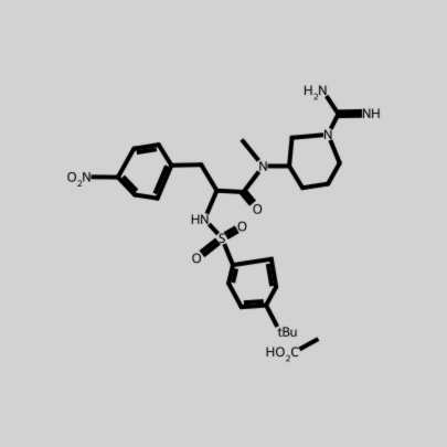 CC(=O)O.CN(C(=O)C(Cc1ccc([N+](=O)[O-])cc1)NS(=O)(=O)c1ccc(C(C)(C)C)cc1)C1CCCN(C(=N)N)C1